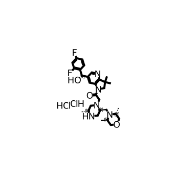 C[C@@H]1CN(CC(=O)N2CC(C)(C)c3ncc([C@@H](O)c4ccc(F)cc4F)cc32)[C@@H](CN2[C@H](C)COC[C@H]2C)CN1.Cl.Cl